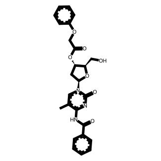 Cc1cn([C@H]2C[C@H](OC(=O)COc3ccccc3)[C@@H](CO)O2)c(=O)nc1NC(=O)c1ccccc1